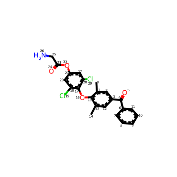 Cc1cc(C(=O)c2ccccc2)cc(C)c1Oc1c(Cl)cc(OC(=O)CN)cc1Cl